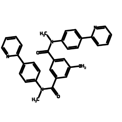 Bc1cc(C(=O)N(C)c2ccc(-c3ccccn3)cc2)cc(C(=O)N(C)c2ccc(-c3ccccn3)cc2)c1